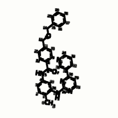 Cc1ccc(NC(=O)c2ccc(COCc3ccccc3)cc2)cc1Nc1nccc(-c2cccnc2)n1